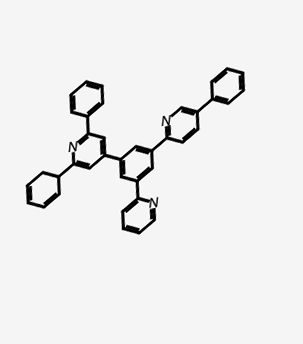 C1=CCC(c2cc(-c3cc(-c4ccccn4)cc(-c4ccc(-c5ccccc5)cn4)c3)cc(-c3ccccc3)n2)C=C1